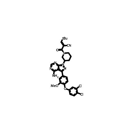 COc1cc(-c2nn(C3CCCN(C(=O)/C(C#N)=C/C(C)(C)C)C3)c3ncnc(N)c23)ccc1Oc1ccc(Cl)c(Cl)c1